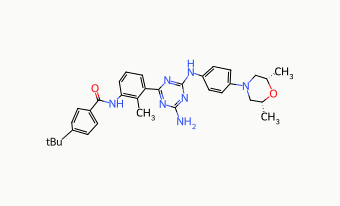 Cc1c(NC(=O)c2ccc(C(C)(C)C)cc2)cccc1-c1nc(N)nc(Nc2ccc(N3C[C@@H](C)O[C@@H](C)C3)cc2)n1